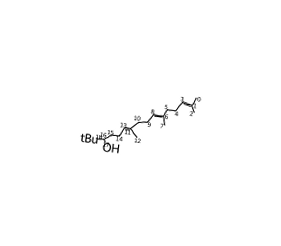 CC(C)=CCC/C(C)=C/CC/C(C)=C/CCC(O)C(C)(C)C